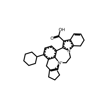 O=C(O)c1c2c(n3c1-c1ccc(C4CCCCC4)c4c1[N+](N1CCCC1)(C=CC4)CC3)CCC=C2